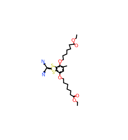 CCOC(=O)CCCCCCOc1cc(C)c(OCCCCCCC(=O)OCC)c2c1SC(=C(C#N)C#N)S2